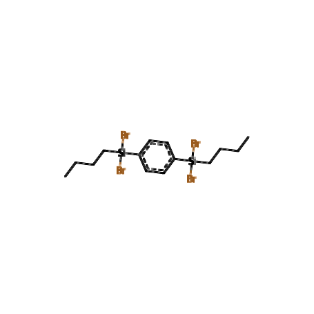 CCCC[Si](Br)(Br)c1ccc([Si](Br)(Br)CCCC)cc1